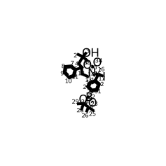 CC(C)(O)CC1(c2ccccc2)CCN([C@@](C)(I)c2ccc(B3OC(C)(C)C(C)(C)O3)cc2)C(=O)O1